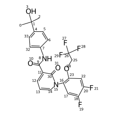 CC(C)(O)c1ccc(NC(=O)c2cccn(-c3cc(F)c(F)cc3OCC(F)(F)F)c2=O)cc1